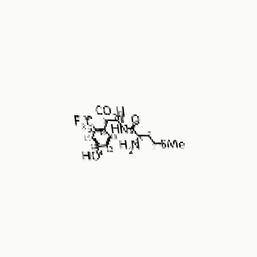 CSCC[C@H](N)C(=O)N[C@@H](Cc1ccc(O)cc1C(F)(F)F)C(=O)O